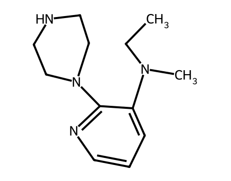 CCN(C)c1cccnc1N1CCNCC1